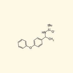 CC(N[S@@+]([O-])C(C)(C)C)c1ccc(Oc2ccccc2)cc1